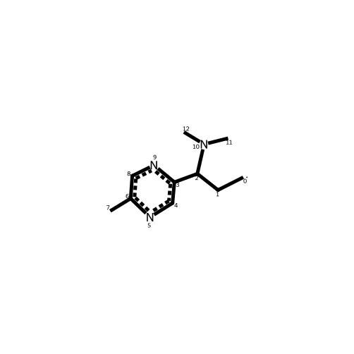 [CH2]CC(c1cnc(C)cn1)N(C)C